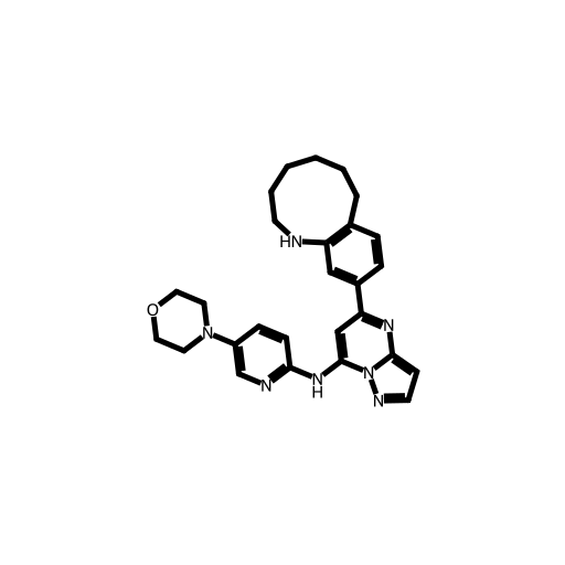 c1cc2nc(-c3ccc4c(c3)NCCCCCC4)cc(Nc3ccc(N4CCOCC4)cn3)n2n1